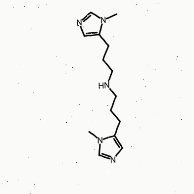 Cn1cncc1CCCNCCCc1cncn1C